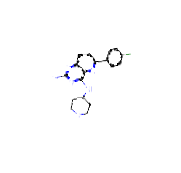 Nc1nc(NC2CCNCC2)c2nc(-c3ccc(F)cc3)ccc2n1